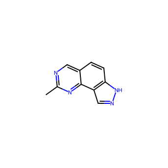 Cc1ncc2ccc3[nH]ncc3c2n1